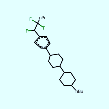 CCCCC1CCC(C2CCC(c3ccc(C(F)C(F)(F)CCC)cc3)CC2)CC1